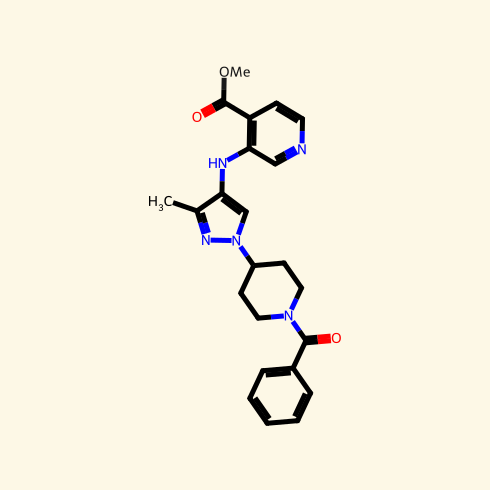 COC(=O)c1ccncc1Nc1cn(C2CCN(C(=O)c3ccccc3)CC2)nc1C